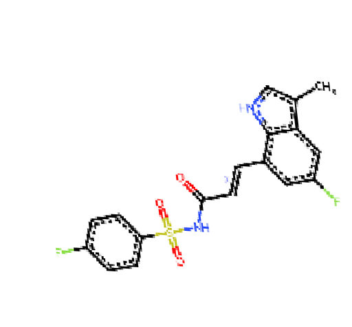 Cc1c[nH]c2c(/C=C/C(=O)NS(=O)(=O)c3ccc(F)cc3)cc(F)cc12